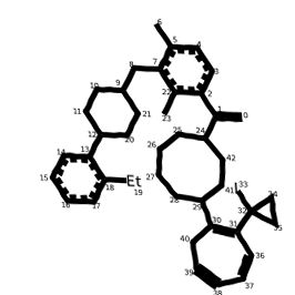 C=C(c1ccc(C)c(CC2CCC(c3ccccc3CC)CC2)c1C)C1CCCCC(C2=C(C3(I)CC3)C=CC#CC2)CC1